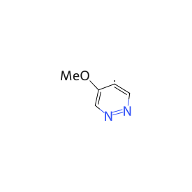 COc1[c]cnnc1